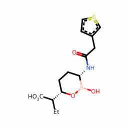 CCC(C(=O)O)[C@@H]1CC[C@H](NC(=O)Cc2ccsc2)B(O)O1